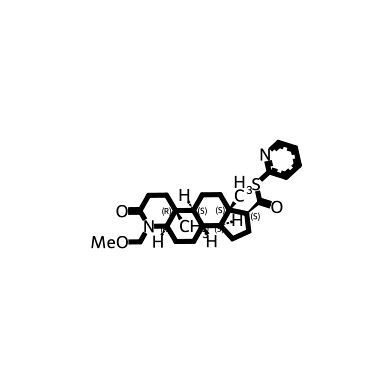 COCN1C(=O)CC[C@]2(C)[C@H]3CC[C@]4(C)[C@@H](C(=O)Sc5ccccn5)CC[C@H]4[C@@H]3CC[C@@H]12